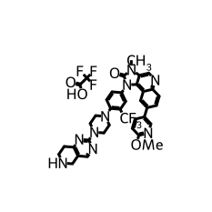 COc1ccc(-c2ccc3ncc4c(c3c2)n(-c2ccc(N3CCN(c5ncc6c(n5)CCNC6)CC3)c(C(F)(F)F)c2)c(=O)n4C)cn1.O=C(O)C(F)(F)F